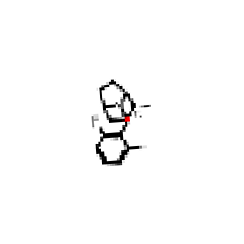 C[C@H]1CCC2CCC1N2Cc1c(F)cccc1F